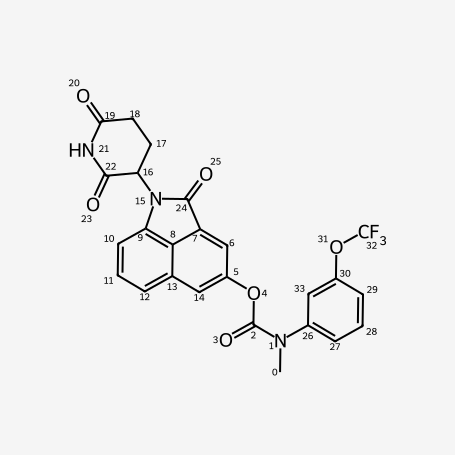 CN(C(=O)Oc1cc2c3c(cccc3c1)N(C1CCC(=O)NC1=O)C2=O)c1cccc(OC(F)(F)F)c1